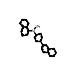 CC(C)N(c1ccc(-c2ccc3ccccc3c2)cc1)c1cccc2ccccc12